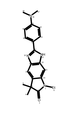 CCN1C(=O)C(C)(C)c2cc3nc(-c4ccc(N(C)C)cc4)[nH]c3cc21